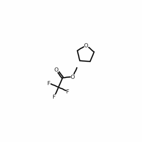 C1CCOC1.COC(=O)C(F)(F)F